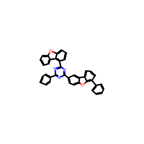 c1ccc(-c2nc(-c3ccc4oc5c(-c6ccccc6)cccc5c4c3)nc(-c3cccc4oc5ccccc5c34)n2)cc1